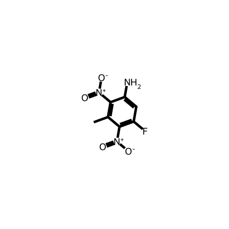 Cc1c([N+](=O)[O-])c(N)cc(F)c1[N+](=O)[O-]